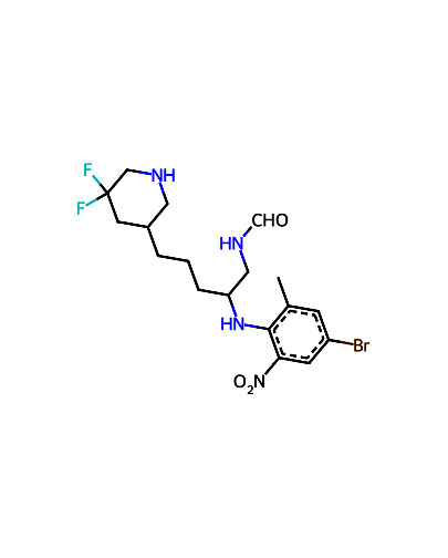 Cc1cc(Br)cc([N+](=O)[O-])c1NC(CCCC1CNCC(F)(F)C1)CNC=O